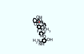 C=CC1(Oc2ccc(Oc3c(F)cnc(Oc4cc(C(=N)N)ccc4O)c3F)c(C3N=CCN3C)c2)CCCCC1(C)C(=O)O